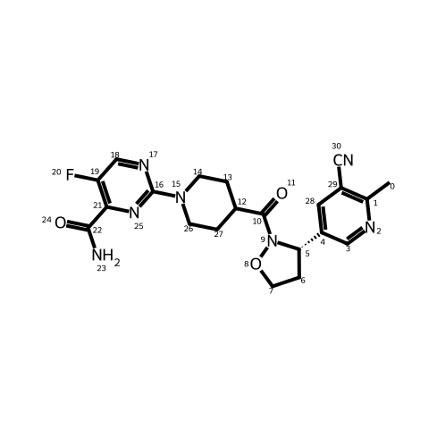 Cc1ncc([C@@H]2CCON2C(=O)C2CCN(c3ncc(F)c(C(N)=O)n3)CC2)cc1C#N